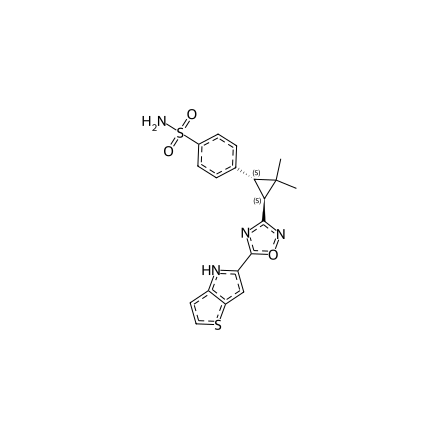 CC1(C)[C@@H](c2ccc(S(N)(=O)=O)cc2)[C@@H]1c1noc(-c2cc3sccc3[nH]2)n1